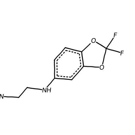 NCCNc1ccc2c(c1)OC(F)(F)O2